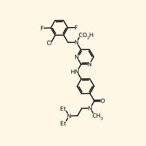 CCN(CC)CCN(C)C(=O)c1ccc(Nc2nccc(N(Cc3c(F)ccc(F)c3Cl)C(=O)O)n2)cc1